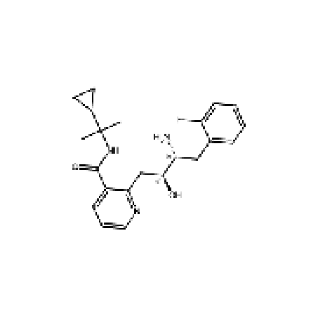 CC(C)(NC(=O)c1cccnc1C[C@H](O)[C@H](N)Cc1ccccc1F)C1CC1